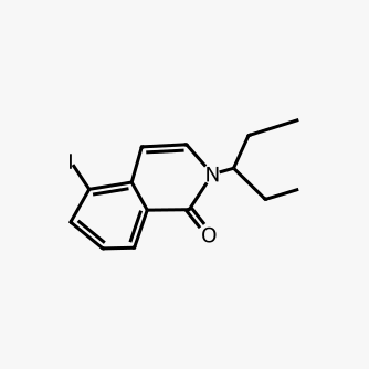 CCC(CC)n1ccc2c(I)cccc2c1=O